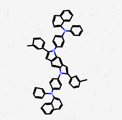 Cc1cccc(-c2cc3cc4c(cc(-c5cccc(C)c5)n4-c4ccc(N(c5ccccc5)c5cccc6ccccc56)cc4)cc3n2-c2ccc(N(c3ccccc3)c3cccc4ccccc34)cc2)c1